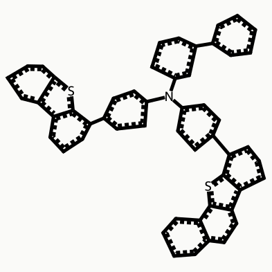 c1ccc(-c2cccc(N(c3ccc(-c4cccc5c4sc4ccccc45)cc3)c3ccc(-c4cccc5c4sc4c6ccccc6ccc54)cc3)c2)cc1